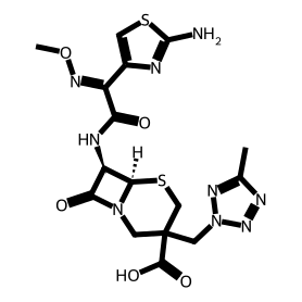 CON=C(C(=O)N[C@@H]1C(=O)N2CC(Cn3nnc(C)n3)(C(=O)O)CS[C@H]12)c1csc(N)n1